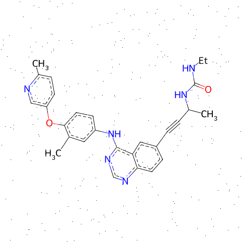 CCNC(=O)NC(C)C#Cc1ccc2ncnc(Nc3ccc(Oc4ccc(C)nc4)c(C)c3)c2c1